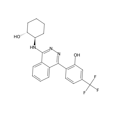 Oc1cc(C(F)(F)F)ccc1-c1nnc(N[C@@H]2CCCC[C@H]2O)c2ccccc12